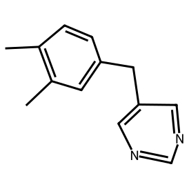 Cc1ccc(Cc2cncnc2)cc1C